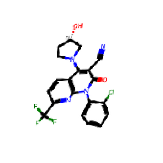 N#Cc1c(N2CC[C@H](O)C2)c2ccc(C(F)(F)F)nc2n(-c2ccccc2Cl)c1=O